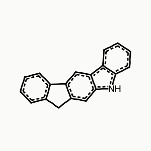 c1ccc2c(c1)Cc1cc3[nH]c4ccccc4c3cc1-2